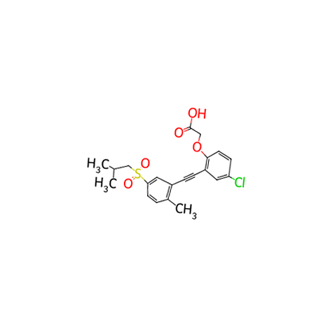 Cc1ccc(S(=O)(=O)CC(C)C)cc1C#Cc1cc(Cl)ccc1OCC(=O)O